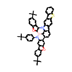 CC(C)(C)c1ccc(N2B3c4oc5ccc(C(C)(C)C)cc5c4-n4c5cc6c(cc5c5ccc(c3c54)-c3cc4oc5cc(C(C)(C)C)ccc5c4cc32)sc2ccccc26)cc1